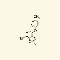 Cc1nc2c(Oc3ccc(C(F)(F)F)cn3)ccc(Br)c2o1